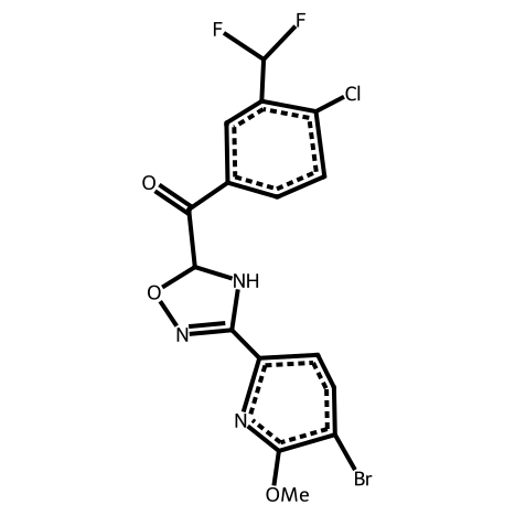 COc1nc(C2=NOC(C(=O)c3ccc(Cl)c(C(F)F)c3)N2)ccc1Br